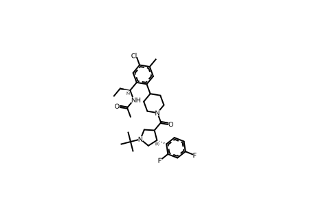 CC[C@H](NC(C)=O)c1cc(Cl)c(C)cc1C1CCN(C(=O)C2CN(C(C)(C)C)C[C@H]2c2ccc(F)cc2F)CC1